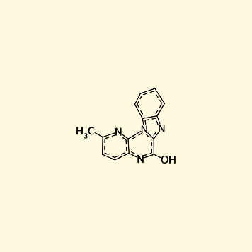 Cc1ccc2nc(O)c3nc4ccccc4n3c2n1